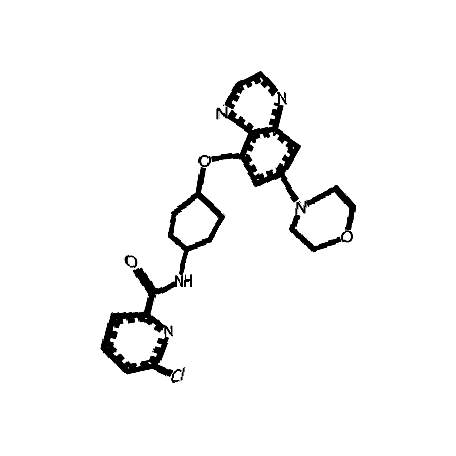 O=C(NC1CCC(Oc2cc(N3CCOCC3)cc3nccnc23)CC1)c1cccc(Cl)n1